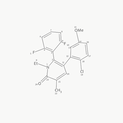 CCn1c(-c2c(F)cccc2F)c(-c2cc(OC)ccc2Cl)cc(C)c1=O